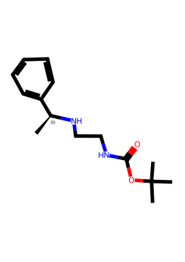 C[C@H](NCCNC(=O)OC(C)(C)C)c1ccccc1